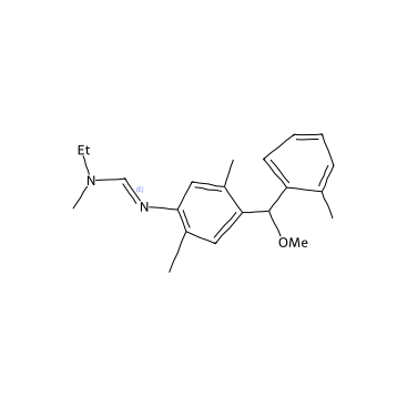 CCN(C)/C=N/c1cc(C)c(C(OC)c2ccccc2C)cc1C